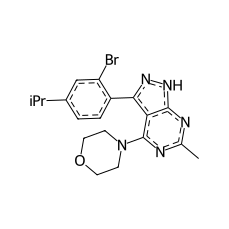 Cc1nc(N2CCOCC2)c2c(-c3ccc(C(C)C)cc3Br)n[nH]c2n1